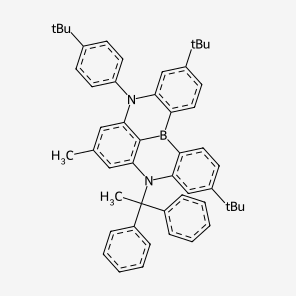 Cc1cc2c3c(c1)N(C(C)(c1ccccc1)c1ccccc1)c1cc(C(C)(C)C)ccc1B3c1ccc(C(C)(C)C)cc1N2c1ccc(C(C)(C)C)cc1